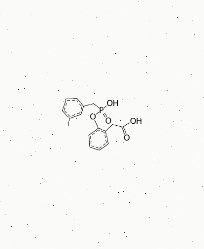 Cc1cccc(CP(=O)(O)Oc2ccccc2CC(=O)O)c1